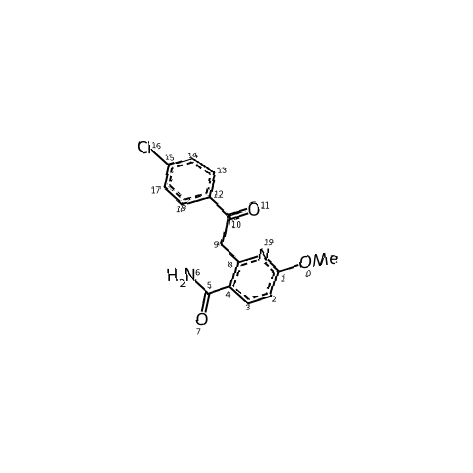 COc1ccc(C(N)=O)c(CC(=O)c2ccc(Cl)cc2)n1